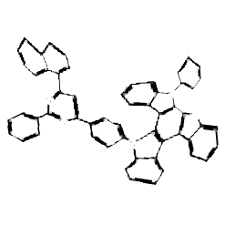 c1ccc(-c2nc(-c3ccc(-n4c5ccccc5c5c6c7ccccc7oc6c6c(c7ccccc7n6-c6ccccc6)c54)cc3)cc(-c3cccc4ccccc34)n2)cc1